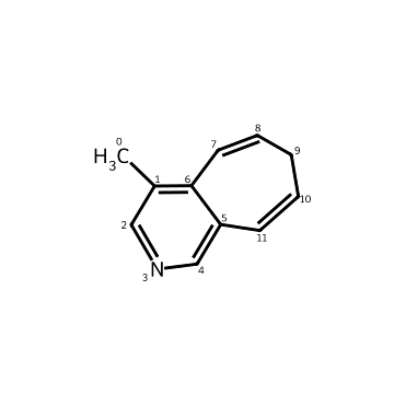 Cc1cncc2c1C=CCC=C2